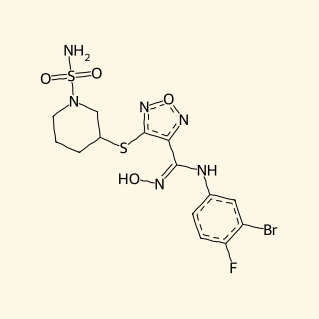 NS(=O)(=O)N1CCCC(Sc2nonc2C(=NO)Nc2ccc(F)c(Br)c2)C1